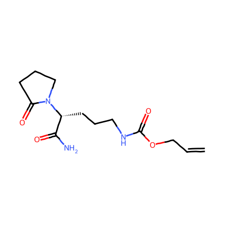 C=CCOC(=O)NCCC[C@H](C(N)=O)N1CCCC1=O